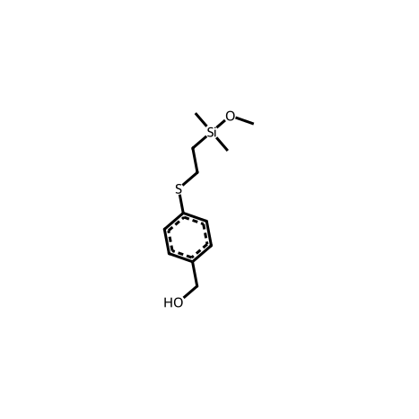 CO[Si](C)(C)CCSc1ccc(CO)cc1